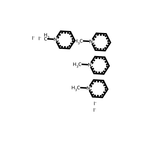 C[n+]1ccccc1.C[n+]1ccccc1.C[n+]1ccccc1.C[n+]1ccccc1.[I-].[I-].[I-].[I-]